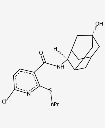 CCCSc1nc(Cl)ccc1C(=O)N[C@H]1C2CC3CC1C[C@](O)(C3)C2